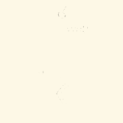 COC(=O)C#CC(=O)c1cccc(C)c1